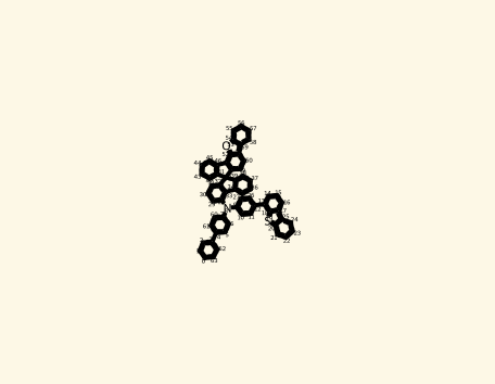 c1ccc(-c2ccc(N(c3ccc(-c4cccc5c4sc4ccccc45)cc3)c3cccc4c3-c3ccccc3C43c4ccccc4-c4c3ccc3c4oc4ccccc43)cc2)cc1